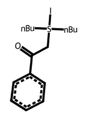 CCCCS(I)(CCCC)CC(=O)c1ccccc1